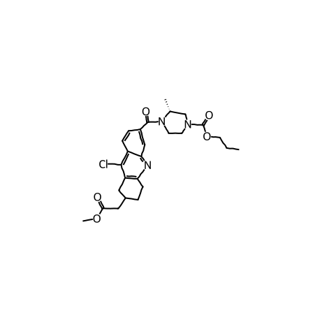 CCCOC(=O)N1CCN(C(=O)c2ccc3c(Cl)c4c(nc3c2)CCC(CC(=O)OC)C4)[C@H](C)C1